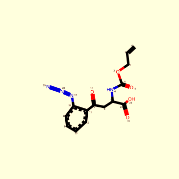 C=CCOC(=O)NC(CC(=O)c1ccccc1N=[N+]=[N-])C(=O)O